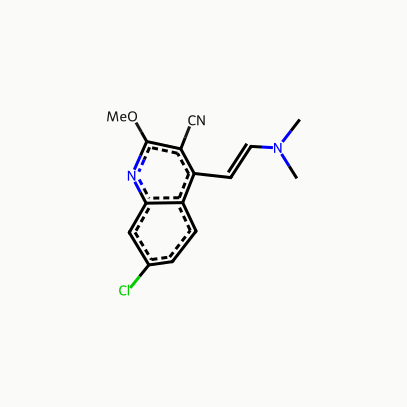 COc1nc2cc(Cl)ccc2c(/C=C/N(C)C)c1C#N